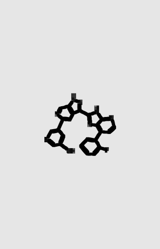 Oc1cncc(-c2cc3c(-c4nc5c(-c6ccccc6F)ccnc5[nH]4)n[nH]c3cn2)c1